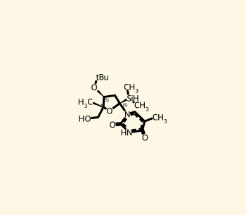 Cc1cn([C@@]2([SiH](C)C)C[C@H](OC(C)(C)C)[C@@](C)(CO)O2)c(=O)[nH]c1=O